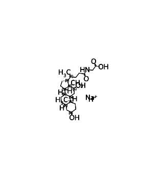 C[C@H](CCC(=O)NCC(=O)O)[C@H]1CC[C@H]2[C@@H]3CC[C@@H]4C[C@H](O)CC[C@]4(C)[C@H]3C[C@H](O)[C@]12C.[H-].[Na+]